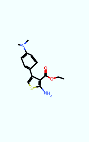 CCOC(=O)c1c(-c2ccc(N(C)C)cc2)csc1N